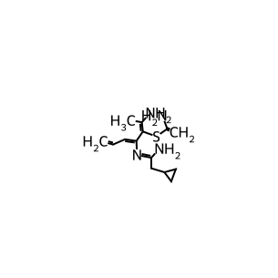 C=C/C=C(\N=C(/N)CC1CC1)C(/SC(=C)N)=C(\C)N